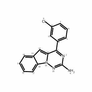 Nc1nc(-c2cccc(Cl)c2)c2cc3ccccc3n2n1